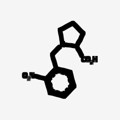 O=C(O)C1CCCN1Cc1ccccc1[N+](=O)[O-]